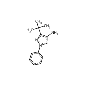 CC(C)(C)c1nn(-c2ccccc2)cc1N